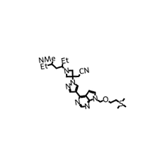 CCC(CC(CC)N1CC(CC#N)(n2cc(-c3ncnc4c3ccn4COCCS(C)(C)C)cn2)C1)NC